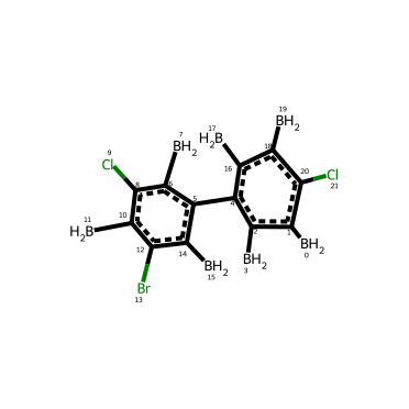 Bc1c(B)c(-c2c(B)c(Cl)c(B)c(Br)c2B)c(B)c(B)c1Cl